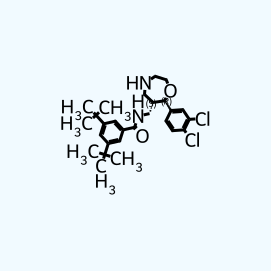 CC(C)(C)c1cc(C(=O)NC[C@@H]2CNCCO[C@H]2c2ccc(Cl)c(Cl)c2)cc(C(C)(C)C)c1